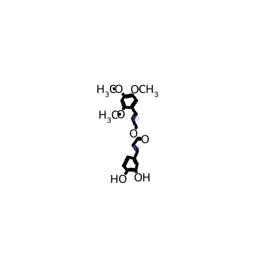 COc1cc(OC)c(OC)cc1/C=C/COC(=O)/C=C/c1ccc(O)c(O)c1